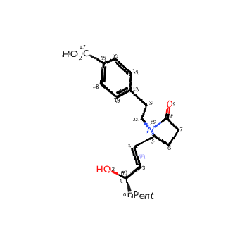 CCCCC[C@@H](O)/C=C/C1CCC(=O)N1CCc1ccc(C(=O)O)cc1